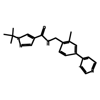 Cc1cc(-c2[c]cncc2)ccc1CNC(=O)c1cnn(C(C)(C)C)c1